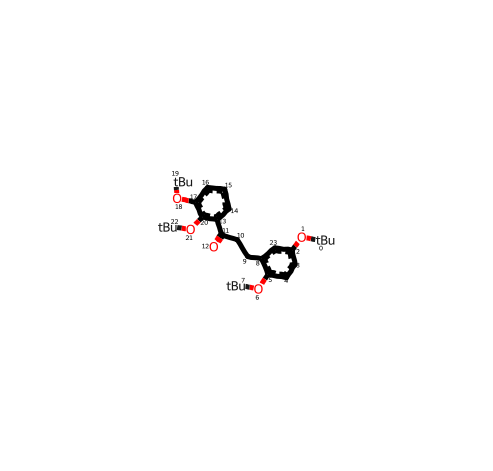 CC(C)(C)Oc1ccc(OC(C)(C)C)c(CCC(=O)c2cccc(OC(C)(C)C)c2OC(C)(C)C)c1